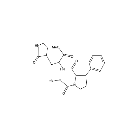 COC(=O)C(CC1CCNC1=O)NC(=O)C1C(c2ccccc2)CCN1C(=O)OC(C)(C)C